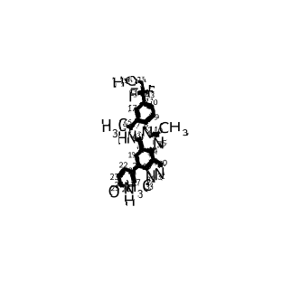 Cc1nc(NC(C)c2cccc(C(F)(F)CO)c2)c2cc(-c3ccc(=O)[nH]c3)c3c(cnn3C)c2n1